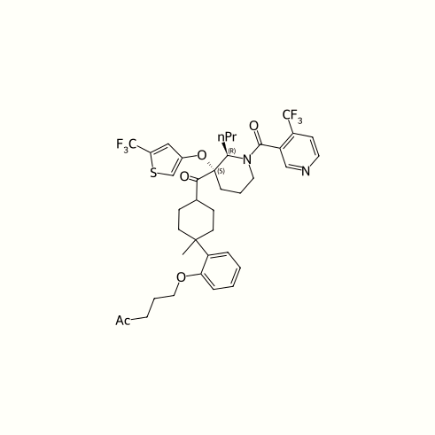 CCC[C@H]1N(C(=O)c2cnccc2C(F)(F)F)CCC[C@@]1(Oc1csc(C(F)(F)F)c1)C(=O)C1CCC(C)(c2ccccc2OCCCC(C)=O)CC1